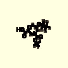 CC(C)(C)OC(=O)N1C[C@@H](O[Si](C)(C)C(C)(C)C)CO[C@H](C(=O)O)C1